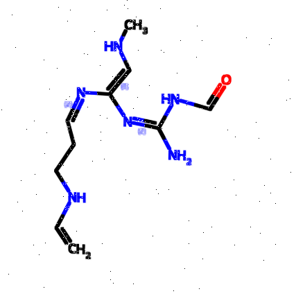 C=CNCC\C=N/C(=C\NC)/N=C(/N)NC=O